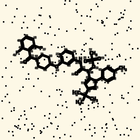 Cc1ccc(-n2nc(C(C)(C)C)cc2N(OS(C)(=O)=O)C(=O)Nc2ccnc(OC3CCN(C(=O)c4c(F)cccc4F)CC3)c2)cc1